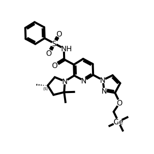 C[C@@H]1CN(c2nc(-n3ccc(O[CH2][Ge]([CH3])([CH3])[CH3])n3)ccc2C(=O)NS(=O)(=O)c2ccccc2)C(C)(C)C1